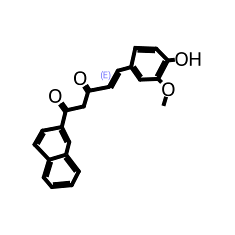 COc1cc(/C=C/C(=O)CC(=O)c2ccc3ccccc3c2)ccc1O